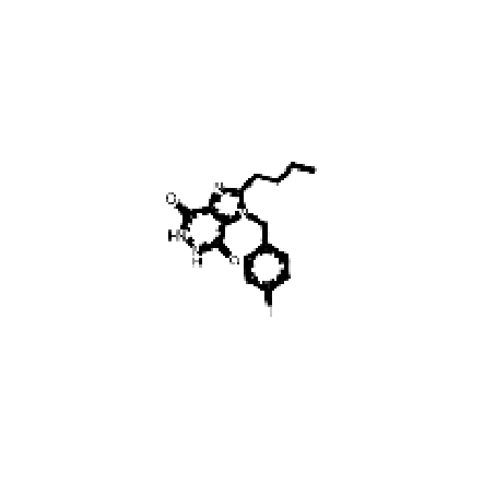 CCCCc1nc2c(=O)[nH][nH]c(=O)c2n1Cc1ccc(I)cc1